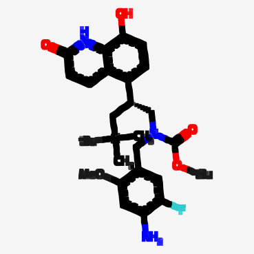 COc1cc(N)c(F)cc1CN(C[C@H](C[Si](C)(C)C(C)(C)C)c1ccc(O)c2[nH]c(=O)ccc12)C(=O)OC(C)(C)C